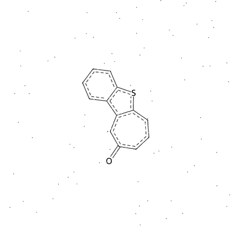 O=c1[c]c2c(ccc1)sc1ccccc12